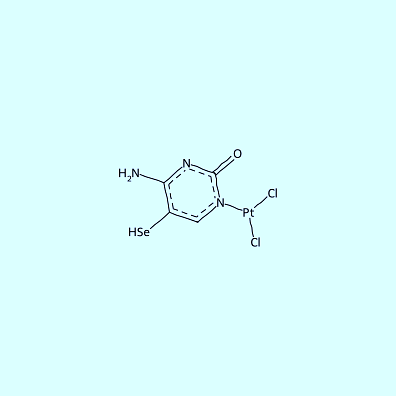 Nc1nc(=O)[n]([Pt]([Cl])[Cl])cc1[SeH]